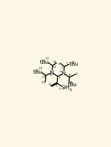 C=C([SiH3])C(N(C(C)C(C)(C)C)C(C)C(C)(C)C)N(C(C)C(C)(C)C)C(C)C(C)(C)C